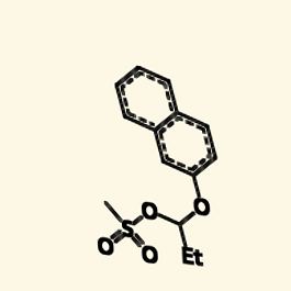 CCC(Oc1ccc2ccccc2c1)OS(C)(=O)=O